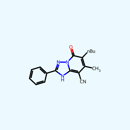 CCCCc1c(C)c(C#N)c2[nH]c(-c3ccccc3)nn2c1=O